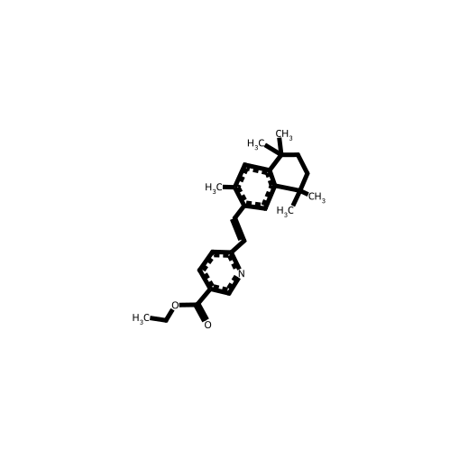 CCOC(=O)c1ccc(C=Cc2cc3c(cc2C)C(C)(C)CCC3(C)C)nc1